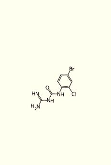 N=C(N)NC(=O)Nc1ccc(Br)cc1Cl